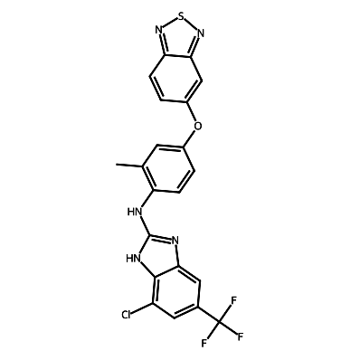 Cc1cc(Oc2ccc3nsnc3c2)ccc1Nc1nc2cc(C(F)(F)F)cc(Cl)c2[nH]1